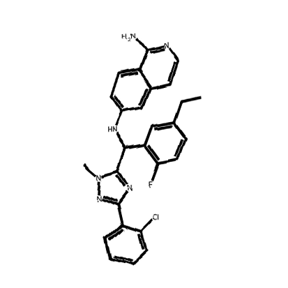 CCc1ccc(F)c(C(Nc2ccc3c(N)nccc3c2)c2nc(-c3ccccc3Cl)nn2C)c1